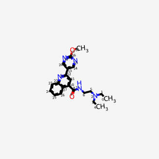 CCN(CC)CCNC(=O)c1cc(-c2cnc(OC)nc2)nc2ccccc12